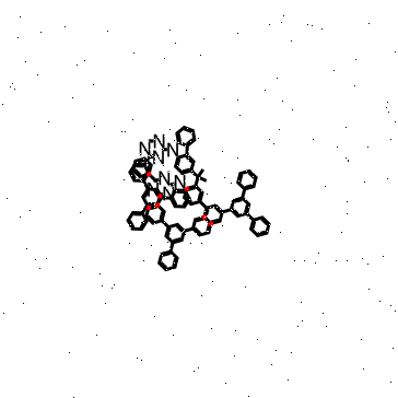 CC1(C)c2cc(-c3cccc(-c4cc(-c5ccccc5)cc(-c5ccccc5)c4)c3)ccc2N(c2nc(-c3ccccc3)nc(-c3cccc(-c4cc(-c5ccccc5)cc(-c5ccccc5)c4)c3)n2)c2cc3c(cc21)c1ccccc1n3-c1ncnc(-c2cccc(-c3cc(-c4ccccc4)cc(-c4ccccc4)c3)c2)n1